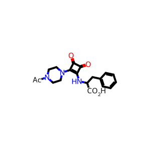 CC(=O)N1CCN(c2c(NC(Cc3ccccc3)C(=O)O)c(=O)c2=O)CC1